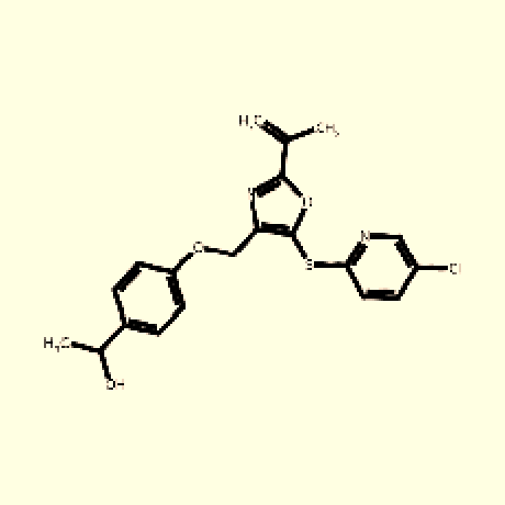 C=C(C)c1nc(COc2ccc(C(C)O)cc2)c(Sc2ccc(Cl)cn2)o1